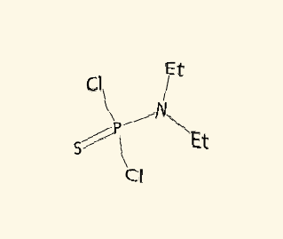 CCN(CC)P(=S)(Cl)Cl